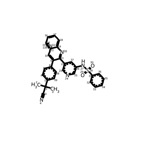 CC(C)(C#N)c1ccc(C2=CC34N=NCC3C=CC=C4N=C2c2cncc(NS(=O)(=O)c3ccccc3)c2)cc1